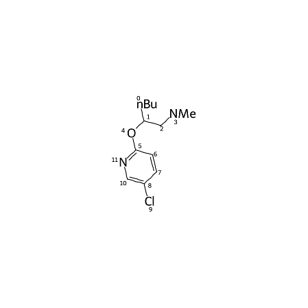 CCCCC(CNC)Oc1ccc(Cl)cn1